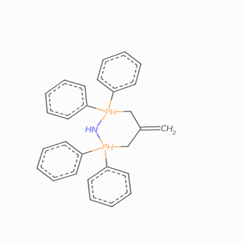 C=C1C[PH](c2ccccc2)(c2ccccc2)N[PH](c2ccccc2)(c2ccccc2)C1